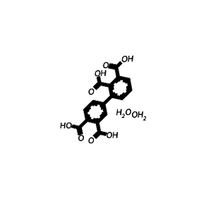 O.O.O=C(O)c1ccc(-c2cccc(C(=O)O)c2C(=O)O)cc1C(=O)O